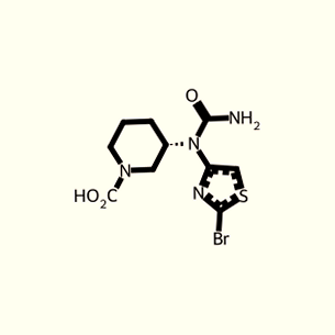 NC(=O)N(c1csc(Br)n1)[C@H]1CCCN(C(=O)O)C1